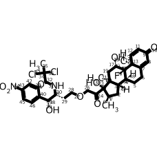 C[C@@H]1C[C@H]2[C@@H]3CCC4=CC(=O)C=C[C@]4(C)[C@@]3(F)[C@@H](O)C[C@]2(C)[C@@]1(O)C(=O)COCC[C@@H](NC(=O)C(C)(Cl)Cl)[C@H](O)c1ccc([N+](=O)[O-])cc1